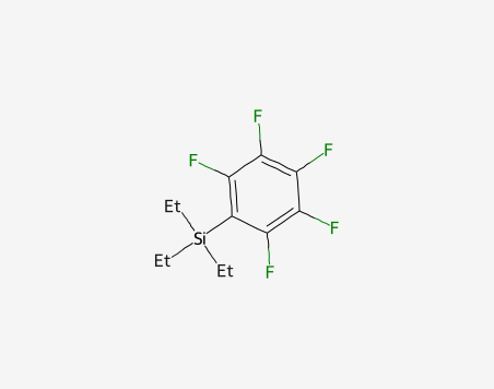 CC[Si](CC)(CC)c1c(F)c(F)c(F)c(F)c1F